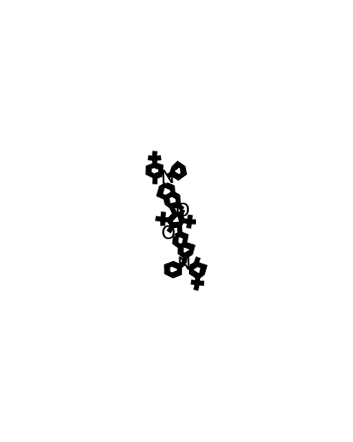 Cc1ccc(C(C)(C)C)cc1N(c1ccccc1)c1ccc2cc3c(cc2c1)oc1c(C(C)(C)C)c2c(oc4cc5cc(N(c6ccccc6)c6cc(C(C)(C)C)ccc6C)ccc5cc42)c(C(C)(C)C)c13